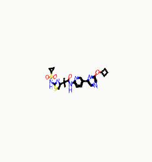 CC(C)(C(=O)Nc1ccc(-c2cncc(OC3CCC3)n2)cn1)c1csc(NS(=O)(=O)C2CC2)n1